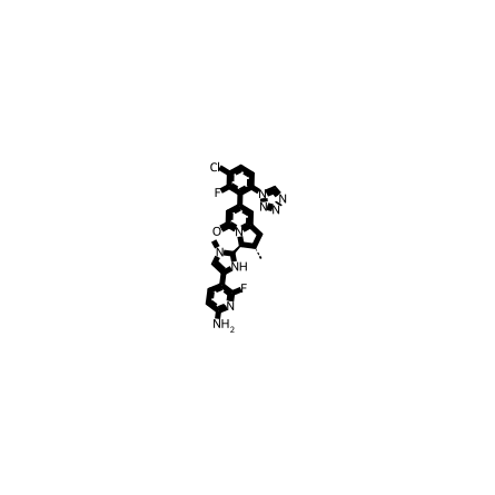 C[C@H]1Cc2cc(-c3c(-n4cnnn4)ccc(Cl)c3F)cc(=O)n2[C@@H]1C1NC(c2ccc(N)nc2F)=CN1C